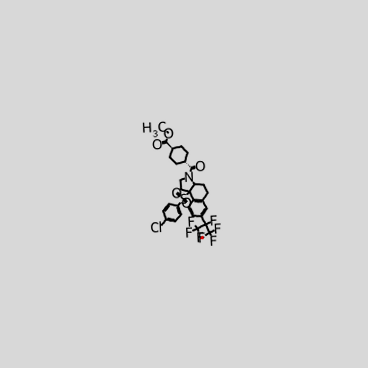 COC(=O)[C@H]1CC[C@H](C(=O)N2CCC3(S(=O)(=O)c4ccc(Cl)cc4)c4ccc(C(F)(C(F)(F)F)C(F)(F)F)cc4CCC23)CC1